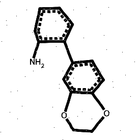 Nc1ccccc1-c1ccc2c(c1)OCCO2